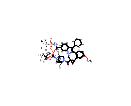 COc1ccc2c(c1)C1CC1(C(=O)N1C[C@H]3C[C@@H]1CN3C(=O)OC(C)(C)C)Cn1c-2c(C2CCCCC2)c2ccc(C(=O)NS(=O)(=O)N(C)C)cc21